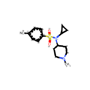 CN1CCC(N(C2CC2)S(=O)(=O)c2ccc(C#N)cc2)CC1